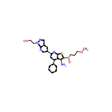 COCCC[S+]([O-])c1sc2nc(-c3cnc4c(cnn4CCO)c3)cc(-c3ccccc3)c2c1N